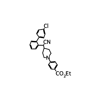 CCOC(=O)c1ccc(N2CCC(C(C#N)c3ccccc3-c3ccc(Cl)cc3)CC2)cc1